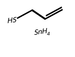 C=CCS.[SnH4]